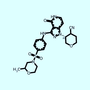 CC1CN(S(=O)(=O)c2ccc(Nc3nn([C@H]4COCCC4C#N)c4cc[nH]c(=O)c34)cc2)CCO1